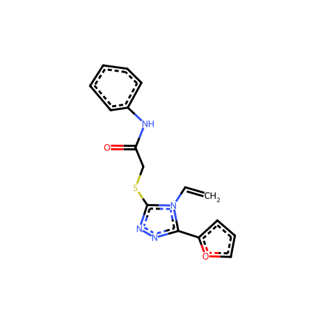 C=Cn1c(SCC(=O)Nc2ccccc2)nnc1-c1ccco1